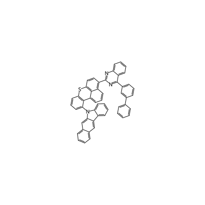 c1ccc(-c2cccc(-c3nc(-c4ccc5c6c(cccc46)-c4c(cccc4-n4c6ccccc6c6cc7ccccc7cc64)S5)nc4ccccc34)c2)cc1